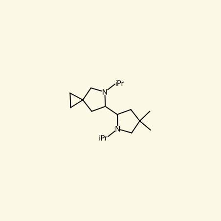 CC(C)N1CC(C)(C)CC1C1CC2(CC2)CN1C(C)C